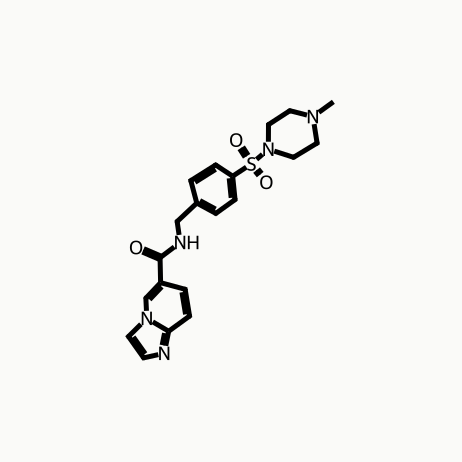 CN1CCN(S(=O)(=O)c2ccc(CNC(=O)c3ccc4nccn4c3)cc2)CC1